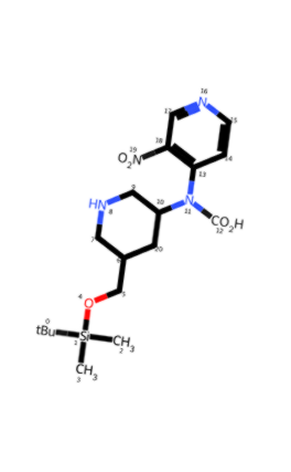 CC(C)(C)[Si](C)(C)OCC1CNCC(N(C(=O)O)c2ccncc2[N+](=O)[O-])C1